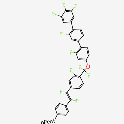 CCCCCc1ccc(/C(F)=C(\F)c2ccc(C(F)(F)Oc3ccc(-c4ccc(-c5cc(F)c(F)c(F)c5)c(F)c4)c(F)c3)c(F)c2)cc1